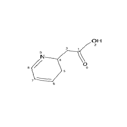 O=C(O)CC1CC=CC=N1